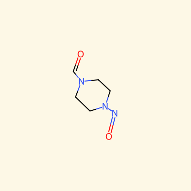 O=CN1CCN(N=O)CC1